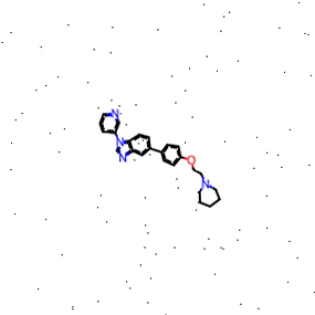 c1cncc(-n2cnc3cc(-c4ccc(OCCN5CCCCC5)cc4)ccc32)c1